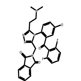 CN(C)CCc1nnc(CN2C(=O)c3ccccc3C2=O)n1-c1ccc(Cl)cc1C(=O)c1c(F)cccc1F